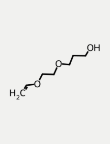 C=COCCOCCCO